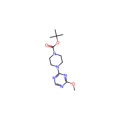 COc1ncnc(N2CCN(C(=O)OC(C)(C)C)CC2)n1